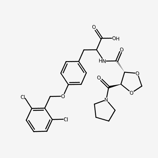 O=C(O)C(Cc1ccc(OCc2c(Cl)cccc2Cl)cc1)NC(=O)[C@@H]1OCO[C@H]1C(=O)N1CCCC1